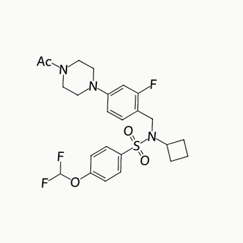 CC(=O)N1CCN(c2ccc(CN(C3CCC3)S(=O)(=O)c3ccc(OC(F)F)cc3)c(F)c2)CC1